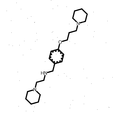 c1cc(OCCCN2CCCCC2)ccc1CNCCN1CCCCC1